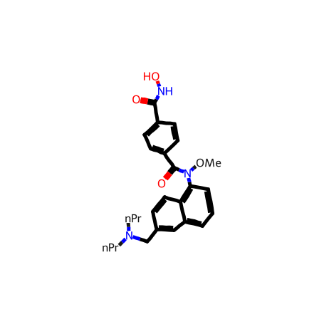 CCCN(CCC)Cc1ccc2c(N(OC)C(=O)c3ccc(C(=O)NO)cc3)cccc2c1